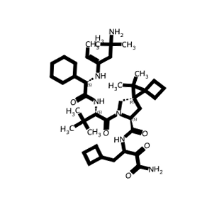 CC=C(CC(C)(C)N)N[C@H](C(=O)N[C@H](C(=O)N1C[C@]2(C[C@H]1C(=O)NC(CC1CCC1)C(=O)C(N)=O)C(C)(C)C21CCC1)C(C)(C)C)C1CCCCC1